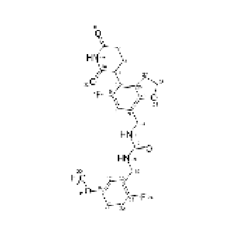 O=C1CCC(c2c(F)cc(CNC(=O)NCc3cc(OC(F)(F)F)ccc3F)c3c2CCO3)C(=O)N1